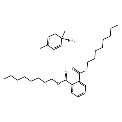 CC1=CCC(C)(N)C=C1.CCCCCCCCOC(=O)c1ccccc1C(=O)OCCCCCCCC